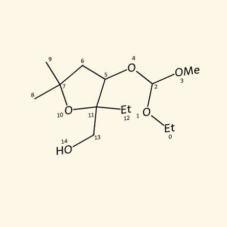 CCOC(OC)OC1CC(C)(C)OC1(CC)CO